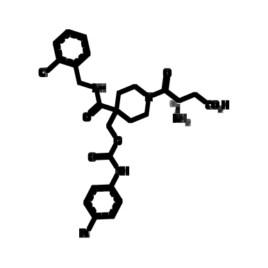 CCc1ccc(NC(=O)OCC2(C(=O)NCc3ccccc3Cl)CCN(C(=O)[C@@H](N)CC(=O)O)CC2)cc1